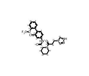 O=C(Nc1ccc(-c2ccccc2OC(F)(F)F)c(Cl)c1)[C@H]1CCCCN1C(=O)CCN1CNN=N1